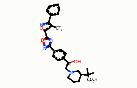 CC(C)(C(=O)O)C1CCCN(C[C@H](O)c2ccc(-c3noc(-c4onc(-c5ccccc5)c4C(F)(F)F)n3)cc2)C1